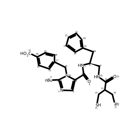 CCCCc1ncc(C(=O)N[C@H](CNC(=O)C(CS)CC(C)C)Cc2ccccc2)n1Cc1ccc(C(=O)O)cc1